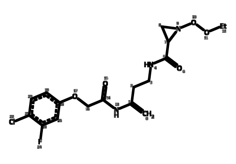 C=C(CCNC(=O)C1CN1OOCC)NC(=O)COc1ccc(Cl)c(F)c1